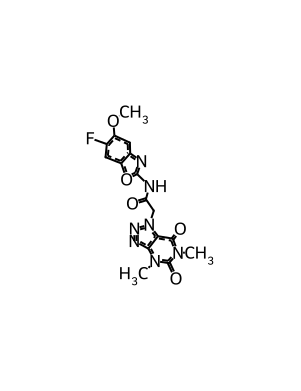 COc1cc2nc(NC(=O)Cn3nnc4c3c(=O)n(C)c(=O)n4C)oc2cc1F